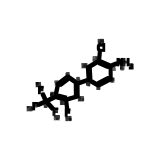 Nc1ccc(-c2ccc(C(F)(F)F)c(F)c2)cc1Cl